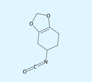 O=C=NC1CCC2=C(C1)OCO2